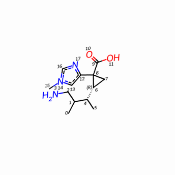 CC(CN)C(C)[C@H]1CC1(C(=O)O)c1cn(C)cn1